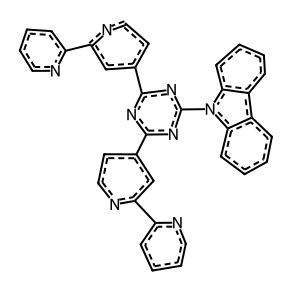 c1ccc(-c2cc(-c3nc(-c4ccnc(-c5ccccn5)c4)nc(-n4c5ccccc5c5ccccc54)n3)ccn2)nc1